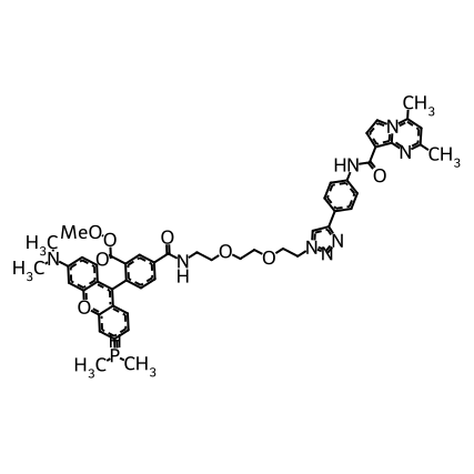 COOC(=O)c1cc(C(=O)NCCOCCOCCn2cc(-c3ccc(NC(=O)c4ccn5c(C)cc(C)nc45)cc3)nn2)ccc1-c1c2ccc(=[PH](C)C)cc-2oc2cc(N(C)C)ccc12